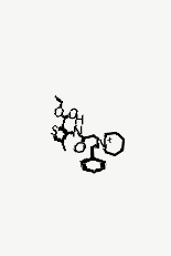 CCOC(=O)c1scc(C)c1NC(=O)C[N+]1(Cc2ccccc2)CCCCCC1